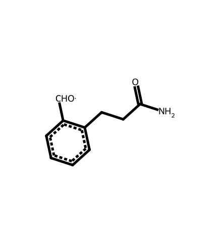 NC(=O)CCc1ccccc1[C]=O